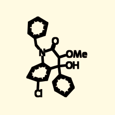 COC1C(=O)N(Cc2ccccc2)c2ccc(Cl)cc2C1(O)c1ccccc1